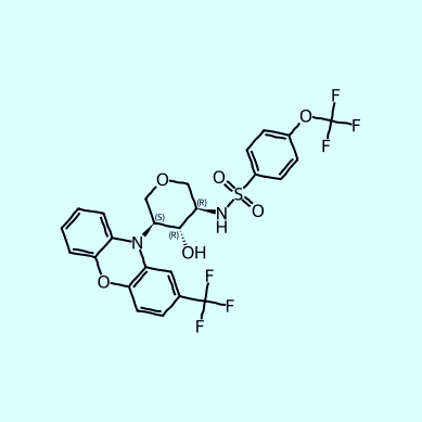 O=S(=O)(N[C@@H]1COC[C@H](N2c3ccccc3Oc3ccc(C(F)(F)F)cc32)[C@H]1O)c1ccc(OC(F)(F)F)cc1